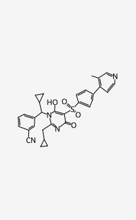 Cc1cnccc1-c1ccc(S(=O)(=O)c2c(O)n(C(c3cccc(C#N)c3)C3CC3)c(CC3CC3)nc2=O)cc1